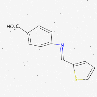 O=C(O)c1ccc(N=Cc2cccs2)cc1